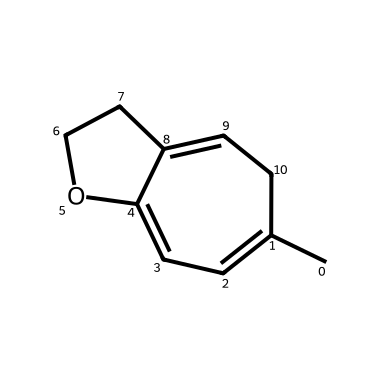 CC1=CC=C2OCCC2=CC1